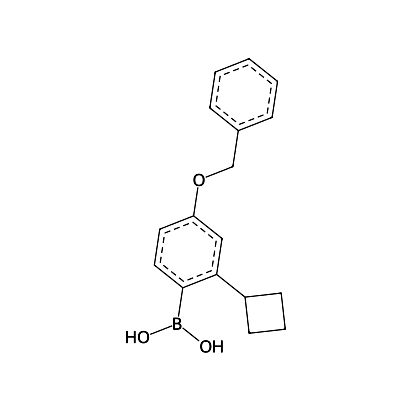 OB(O)c1ccc(OCc2ccccc2)cc1C1CCC1